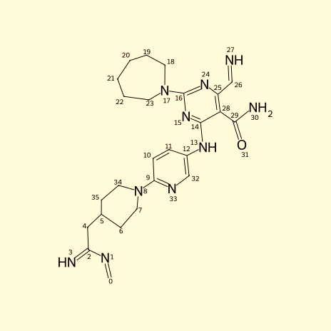 C=NC(=N)CC1CCN(c2ccc(Nc3nc(N4CCCCCC4)nc(C=N)c3C(N)=O)cn2)CC1